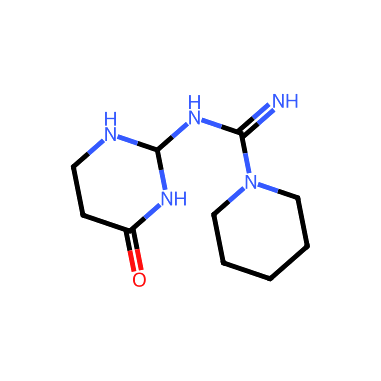 N=C(NC1NCCC(=O)N1)N1CCCCC1